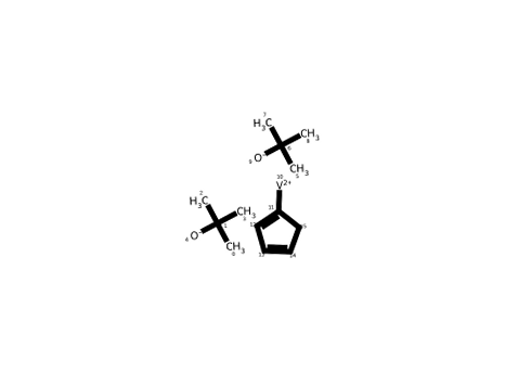 CC(C)(C)[O-].CC(C)(C)[O-].[V+2][C]1=CC=CC1